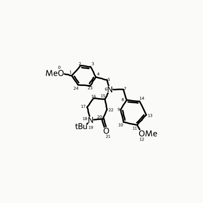 COc1ccc(CN(Cc2ccc(OC)cc2)C2CCN(C(C)(C)C)C(=O)C2)cc1